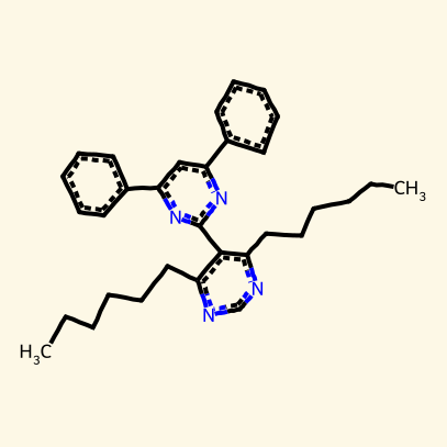 CCCCCCc1ncnc(CCCCCC)c1-c1nc(-c2ccccc2)cc(-c2ccccc2)n1